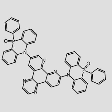 O=P1(c2ccccc2)c2ccccc2N(c2cnc3c(c2)c2nccnc2c2ccc(N4c5ccccc5P(=O)(c5ccccc5)c5ccccc54)nc23)c2ccccc21